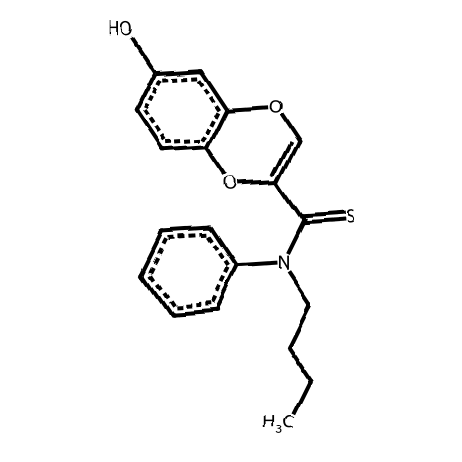 CCCCN(C(=S)C1=COc2cc(O)ccc2O1)c1ccccc1